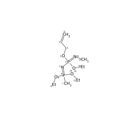 C=CCOP(N=P(C)(OCC)OCC)(=NC)OCC